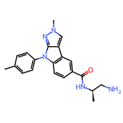 Cc1ccc(-n2c3ccc(C(=O)N[C@H](C)CN)cc3c3cn(C)nc32)cc1